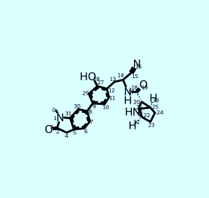 CN1C(=O)Cc2ccc(-c3ccc(CC(C#N)NC(=O)[C@H]4N[C@@H]5CC[C@H]4C5)c(O)c3)cc21